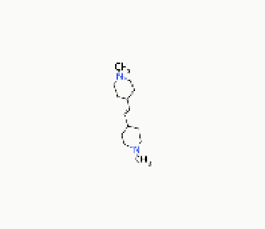 CN1CCC(/C=C/C2CCN(C)CC2)CC1